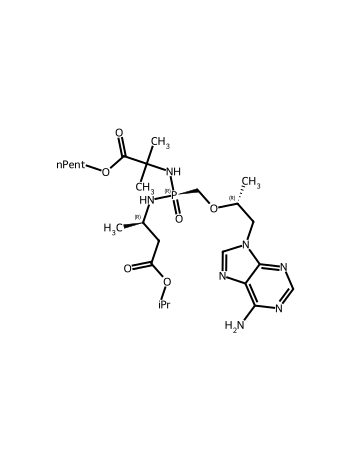 CCCCCOC(=O)C(C)(C)N[P@@](=O)(CO[C@H](C)Cn1cnc2c(N)ncnc21)N[C@H](C)CC(=O)OC(C)C